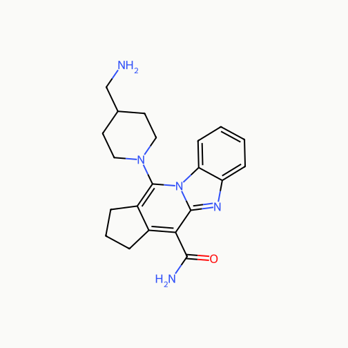 NCC1CCN(c2c3c(c(C(N)=O)c4nc5ccccc5n24)CCC3)CC1